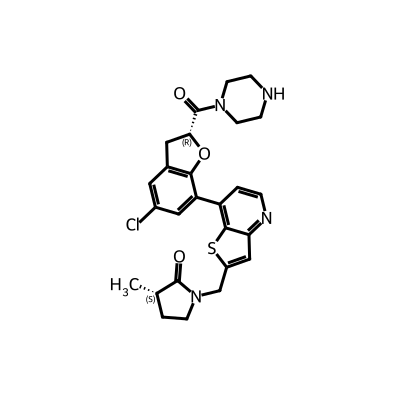 C[C@H]1CCN(Cc2cc3nccc(-c4cc(Cl)cc5c4O[C@@H](C(=O)N4CCNCC4)C5)c3s2)C1=O